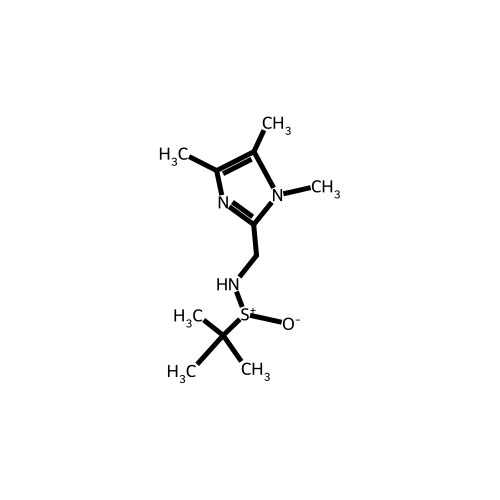 Cc1nc(CN[S+]([O-])C(C)(C)C)n(C)c1C